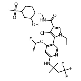 CCn1nc(C(=O)NC[C@H]2CCC(S(C)(=O)=O)C[C@@H]2O)c(Cl)c1-c1cnc(NC(C)(C)CC(F)(F)F)cc1OC(F)F